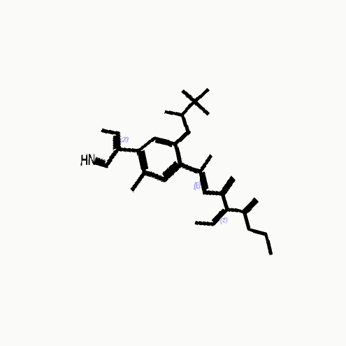 C=C(/C=C(\C)c1cc(C)c(/C(C=N)=C/C)cc1CC(C)C(C)(C)C)/C(=C\C)C(=C)CCC